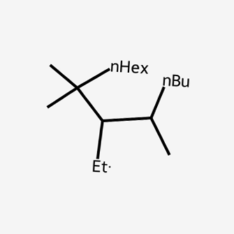 C[CH]C(C(C)CCCC)C(C)(C)CCCCCC